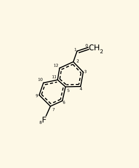 C=Cc1ccc2cc(F)ccc2c1